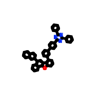 c1ccc(-c2nc(-c3ccccc3)nc(-c3ccc(-c4cccc(-c5cccc6oc7c8ccccc8c(-c8ccc9ccccc9c8)cc7c56)c4)cc3)n2)cc1